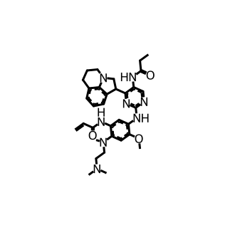 C=CC(=O)Nc1cc(Nc2ncc(NC(=O)CC)c(C3CN4CCCc5cccc3c54)n2)c(OC)cc1N(C)CCN(C)C